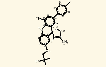 [C-]#[N+]C(C)(C)COc1ccc2c(c1)[C@@]1(COC(N)=N1)c1cc(-c3ccc(C)nc3)cc(F)c1O2